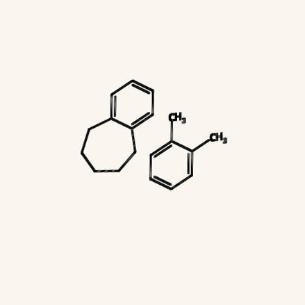 Cc1ccccc1C.c1ccc2c(c1)CCCCC2